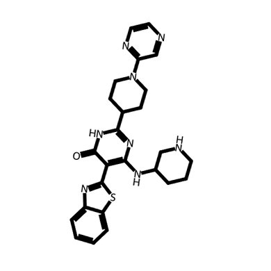 O=c1[nH]c(C2CCN(c3cnccn3)CC2)nc(NC2CCCNC2)c1-c1nc2ccccc2s1